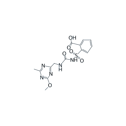 COc1nc(C)nc(CNC(=O)NS(=O)(=O)c2ccccc2C(=O)O)n1